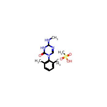 CNC1N=CN(c2c(C)cccc2C)C(=O)N1.CS(=O)(=O)O